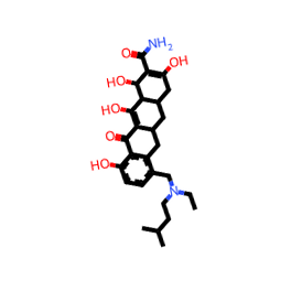 CCN(CCC(C)C)Cc1ccc(O)c2c1CC1CC3CC(O)=C(C(N)=O)C(O)C3C(O)=C1C2=O